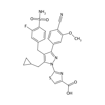 COc1cc(-c2nn(-c3nc(C(=O)O)cs3)c(CC3CC3)c2Cc2ccc(S(N)(=O)=O)c(F)c2)ccc1C#N